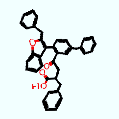 O=C(CC(Cc1ccccc1)C(=O)O)c1cc(-c2ccccc2)ccc1-c1c(Cc2ccccc2)oc2ccccc12